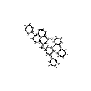 O=c1c2cccc3c(-c4ccccc4)ccc(c32)c2nc3cc(-c4ccccc4)c(-c4ccccc4)c(-c4ccccc4)c3n12